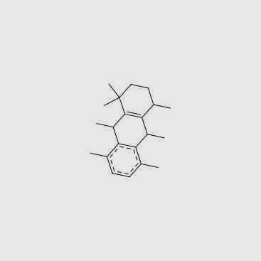 Cc1ccc(C)c2c1C(C)C1=C(C2C)C(C)(C)CCC1C